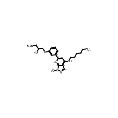 CNCC(O)COc1cccc(-c2cc(NCCCCCN)c3cnn(C(C)C)c3n2)c1